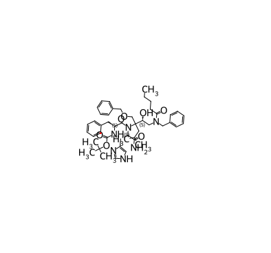 CCCCC(=O)N(Cc1ccccc1)C[C@H](O)C(COCc1ccccc1)(CC(C)C)N(C(=O)[C@H](Cc1ccccc1)NC(=O)OC(C)(C)C)[C@@H](Cc1c[nH]cn1)C(N)=O